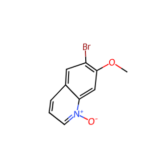 COc1cc2c(ccc[n+]2[O-])cc1Br